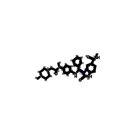 CNC(=O)c1ccc2c(c1)/C(=C(/Nc1ccc(N(C)C(=O)CN3CCN(C)CC3)cc1)c1ccccc1)C(=O)N2